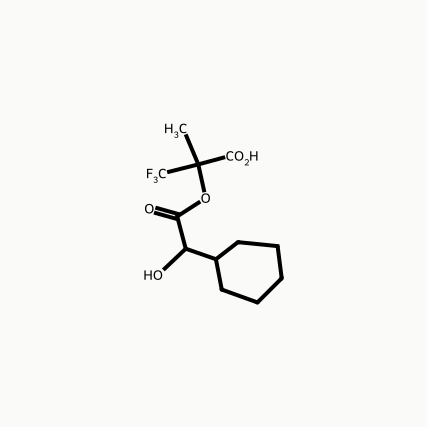 CC(OC(=O)C(O)C1CCCCC1)(C(=O)O)C(F)(F)F